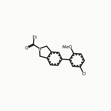 CCC(=O)N1Cc2ccc(-c3cc(Cl)ccc3OC)cc2C1